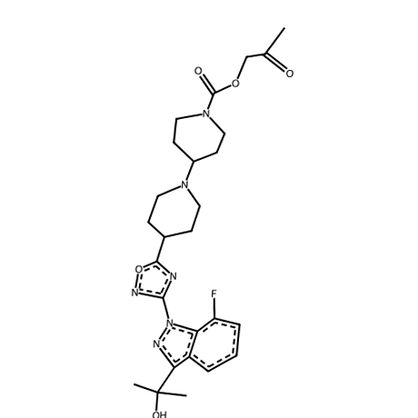 CC(=O)COC(=O)N1CCC(N2CCC(c3nc(-n4nc(C(C)(C)O)c5cccc(F)c54)no3)CC2)CC1